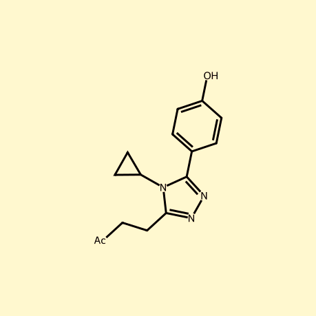 CC(=O)CCc1nnc(-c2ccc(O)cc2)n1C1CC1